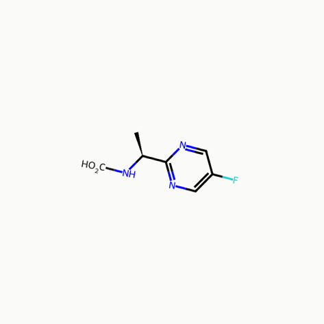 C[C@H](NC(=O)O)c1ncc(F)cn1